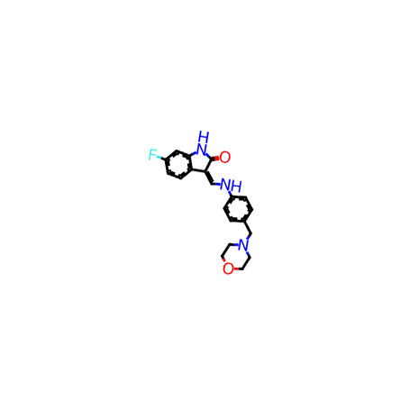 O=C1Nc2cc(F)ccc2/C1=C/Nc1ccc(CN2CCOCC2)cc1